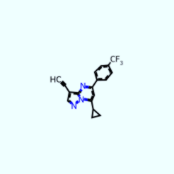 C#Cc1cnn2c(C3CC3)cc(-c3ccc(C(F)(F)F)cc3)nc12